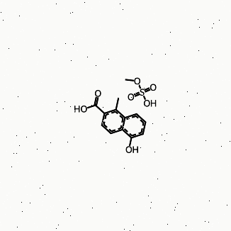 COS(=O)(=O)O.Cc1c(C(=O)O)ccc2c(O)cccc12